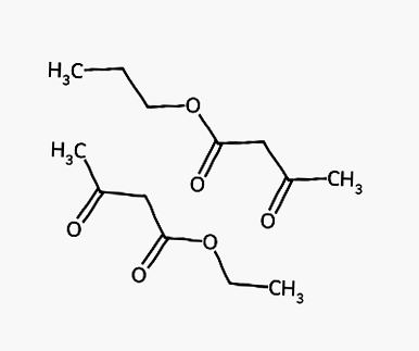 CCCOC(=O)CC(C)=O.CCOC(=O)CC(C)=O